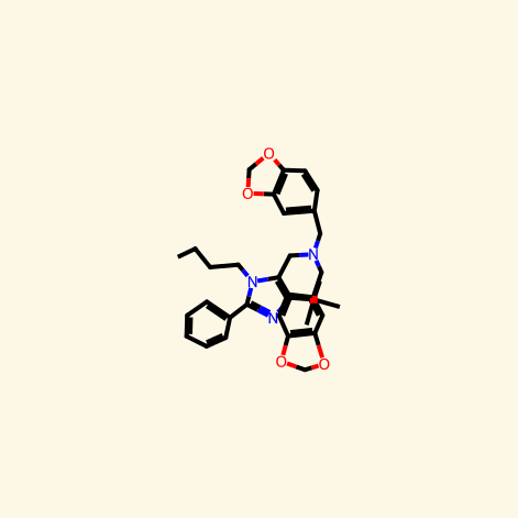 CCCCn1c(-c2ccccc2)nc(C(C)(C)C)c1CN(Cc1ccc2c(c1)OCO2)Cc1ccc2c(c1)OCO2